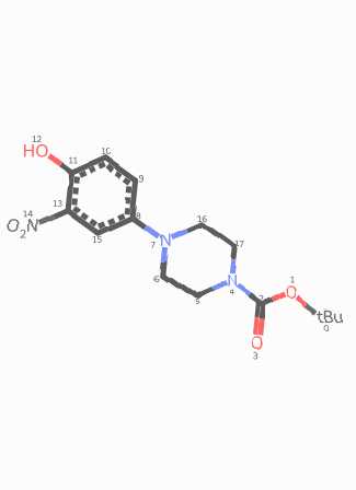 CC(C)(C)OC(=O)N1CCN(c2ccc(O)c([N+](=O)[O-])c2)CC1